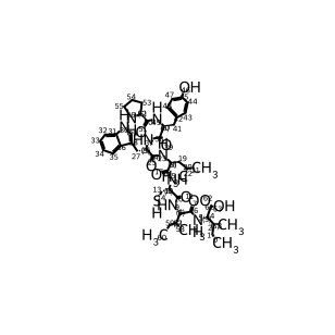 CC[C@H](C)[C@H](NC(=O)[C@@H](NC(=O)[C@H](CS)NC(=O)[C@H](CC(C)C)NC(=O)[C@H](Cc1c[nH]c2ccccc12)NC(=O)[C@H](Cc1ccc(O)cc1)NC(=O)[C@@H]1CCCN1)[C@@H](C)CC)C(=O)O